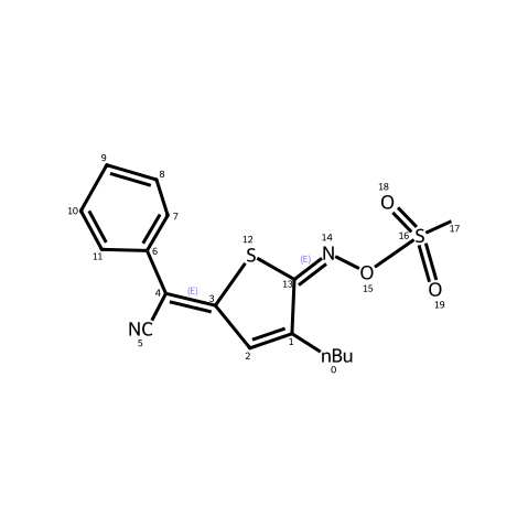 CCCCC1=CC(=C(\C#N)c2ccccc2)/S/C1=N/OS(C)(=O)=O